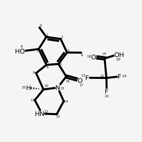 Cc1cc(C)c2c(c1O)C[C@@H]1CNCCN1C2=O.O=C(O)C(F)(F)F